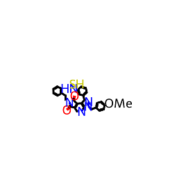 COc1ccc(Cn2nc(-c3cccc(NS)c3)c3c4c(cnc32)C(=O)N(CCc2ccccc2)C4=O)cc1